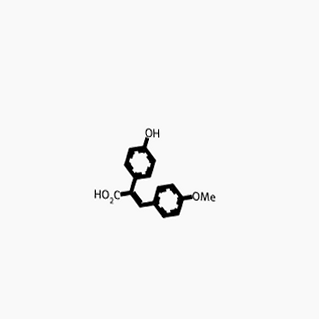 COc1ccc(C=C(C(=O)O)c2ccc(O)cc2)cc1